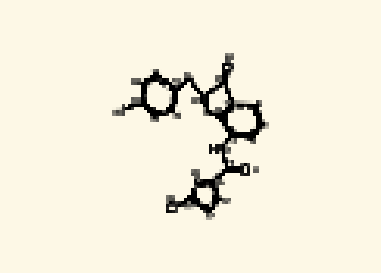 O=C(Nc1cccc2c1CN(Cc1ccc(I)cc1)C2=O)c1ccc(Cl)s1